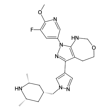 COc1ncc(-n2nc(-c3cnn(C[C@H]4C[C@@H](C)N[C@@H](C)C4)c3)c3c2NCOCC3)cc1F